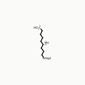 CCCCCCCCCCCCCCCC(=O)O.[Mo]